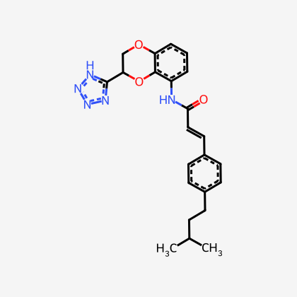 CC(C)CCc1ccc(C=CC(=O)Nc2cccc3c2OC(c2nnn[nH]2)CO3)cc1